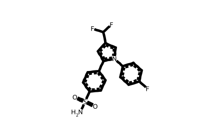 NS(=O)(=O)c1ccc(-c2cc(C(F)F)cn2-c2ccc(F)cc2)cc1